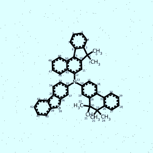 CC1(C)c2ccccc2-c2c1cc(N(c1ccc3c(c1)C(C)(C)C(C)(C)c1ccccc1-3)c1ccc3c(c1)sc1ccccc13)c1ccccc21